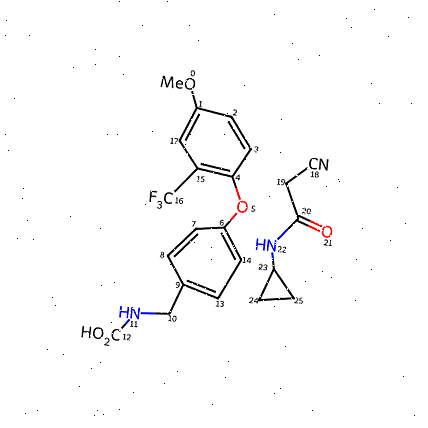 COc1ccc(Oc2ccc(CNC(=O)O)cc2)c(C(F)(F)F)c1.N#CCC(=O)NC1CC1